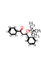 C[Si](C)(C)OC(CC(=O)c1ccccc1)c1ccccc1